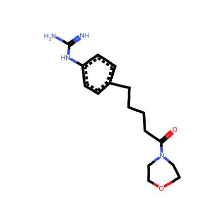 N=C(N)Nc1ccc(CCCCC(=O)N2CCOCC2)cc1